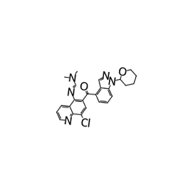 CN(C)/C=N/c1c(C(=O)c2cccc3c2cnn3C2CCCCO2)cc(Cl)c2ncccc12